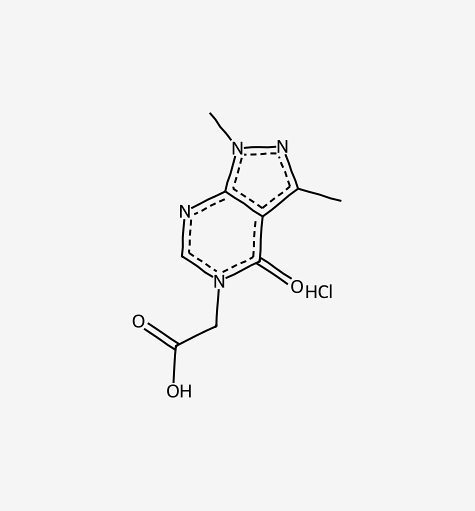 Cc1nn(C)c2ncn(CC(=O)O)c(=O)c12.Cl